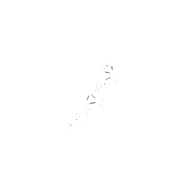 Cc1ccc2c(N)c(C(=O)NCCc3ccc(NCCNC(=O)OC(C)(C)C)c(OC(F)F)c3)sc2n1